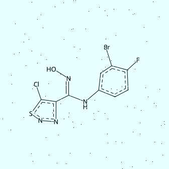 ON=C(Nc1ccc(F)c(Br)c1)c1nnsc1Cl